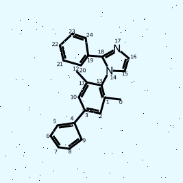 Cc1cc(-c2ccccc2)cc(C)c1-n1ccnc1-c1ccccc1